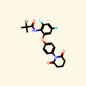 CCC(C)(C)C(=O)Nc1c(F)cc(F)cc1Oc1ccc(N2C(=O)CCCC2=O)cc1